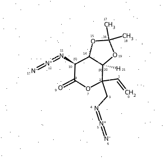 C=CC1(CN=[N+]=[N-])OC(=O)[C@@H](N=[N+]=[N-])C2OC(C)(C)O[C@H]21